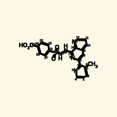 Cc1cccnc1-c1cc2cccnc2c(NNS(=O)(=O)c2ccc(C(=O)O)cc2)n1